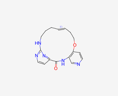 O=C1Nc2cnccc2OCC/C=C/CCCNc2nccc1n2